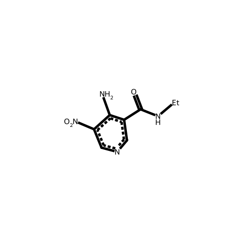 CCNC(=O)c1cncc([N+](=O)[O-])c1N